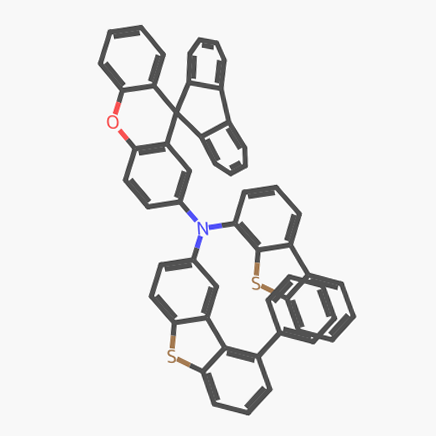 c1ccc(-c2cccc3sc4ccc(N(c5ccc6c(c5)C5(c7ccccc7O6)c6ccccc6-c6ccccc65)c5cccc6c5sc5ccccc56)cc4c23)cc1